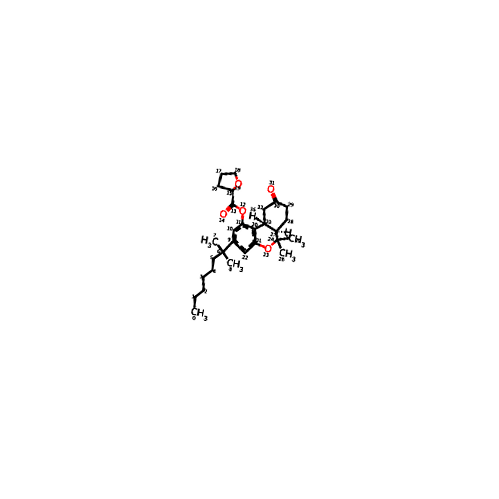 CCCCCCC(C)(C)c1cc(OC(=O)[C@H]2CCCO2)c2c(c1)OC(C)(C)[C@@H]1CCC(=O)C[C@@H]21